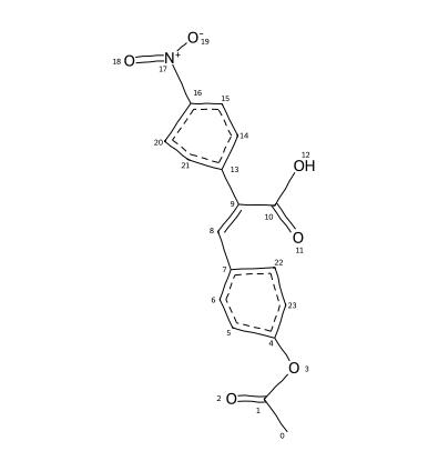 CC(=O)Oc1ccc(C=C(C(=O)O)c2ccc([N+](=O)[O-])cc2)cc1